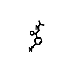 CC(C)/N=C/C(=O)c1cccc(C#N)c1